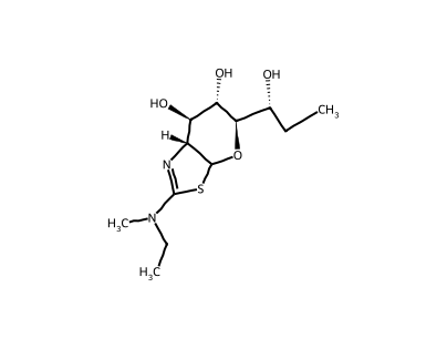 CC[C@@H](O)[C@H]1OC2SC(N(C)CC)=N[C@@H]2[C@@H](O)[C@@H]1O